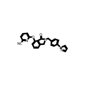 N#Cc1cccc(Oc2cccc3c2C(=O)N(Cc2ccc(-n4cccn4)cc2)C3)n1